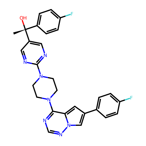 C[C@@](O)(c1ccc(F)cc1)c1cnc(N2CCN(c3ncnn4cc(-c5ccc(F)cc5)cc34)CC2)nc1